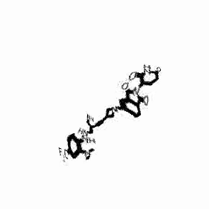 CN(C)c1cc(C(F)(F)F)ccc1NN/C=C(/C#CC1CN(c2ccc3c(c2)C(=O)N(C2CCC(=O)NC2=O)C3=O)C1)C=N